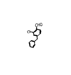 O=Cc1ccc(Cc2ccccc2)cc1Cl